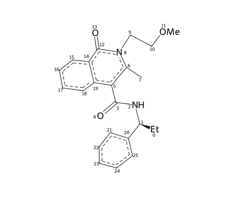 CC[C@H](NC(=O)c1c(C)n(CCOC)c(=O)c2ccccc12)c1ccccc1